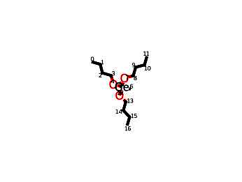 CCCC[O][Ge]([CH3])([O]CCCC)[O]CCCC